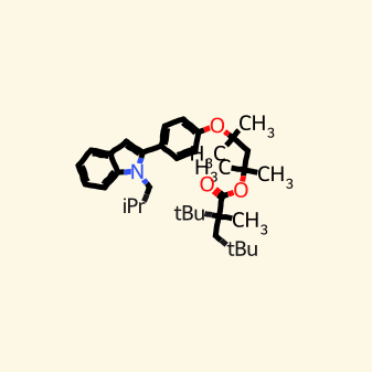 CC(C)Cn1c(-c2ccc(OC(C)(C)CC(C)(C)OC(=O)C(C)(CC(C)(C)C)C(C)(C)C)cc2)cc2ccccc21